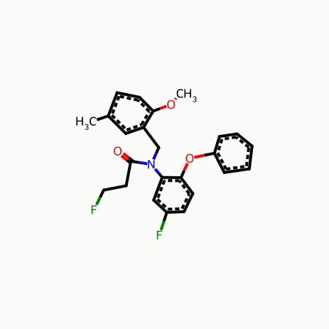 COc1ccc(C)cc1CN(C(=O)CCF)c1cc(F)ccc1Oc1ccccc1